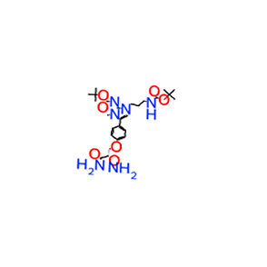 Cn1c(-c2ccc(OC[C@H](ON)C(N)=O)cc2)cn(CCCNC(=O)OC(C)(C)C)/c1=N/C(=O)OC(C)(C)C